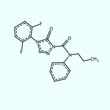 CCCN(C(=O)n1nnn(-c2c(F)cccc2F)c1=O)c1ccccc1